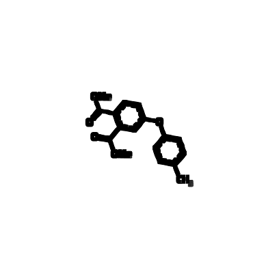 COC(=O)c1ccc(Oc2ccc(C)cc2)cc1C(=O)OC